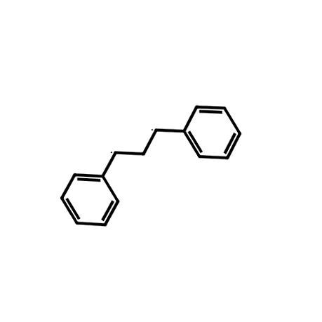 [CH](C[CH]c1ccccc1)c1ccccc1